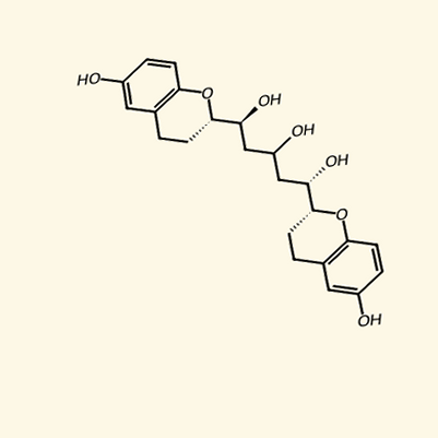 Oc1ccc2c(c1)CC[C@@H]([C@@H](O)CC(O)C[C@H](O)[C@H]1CCc3cc(O)ccc3O1)O2